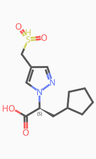 O=C(O)[C@H](CC1CCCC1)n1cc(C[SH](=O)=O)cn1